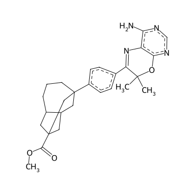 COC(=O)C12CC3CCCC(c4ccc(C5=Nc6c(N)ncnc6OC5(C)C)cc4)(CC3C1)C2